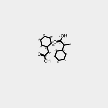 CC(C(=O)O)C1CCCCC1.O=C(O)CC1CCCCC1